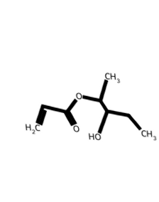 C=CC(=O)OC(C)C(O)CC